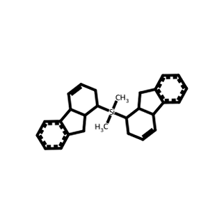 C[Si](C)(C1CC=CC2c3ccccc3CC21)C1CC=CC2c3ccccc3CC21